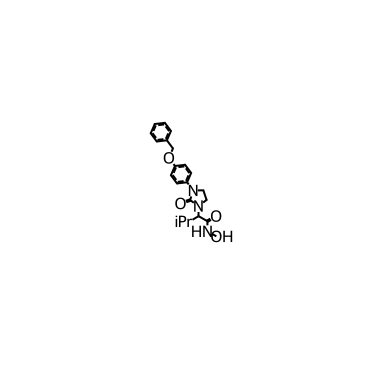 CC(C)C(C(=O)NO)N1CCN(c2ccc(OCc3ccccc3)cc2)C1=O